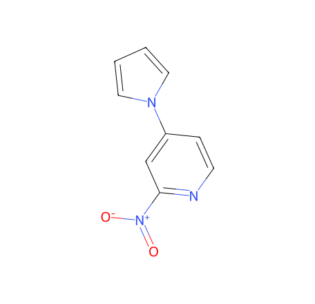 O=[N+]([O-])c1cc(-n2cccc2)ccn1